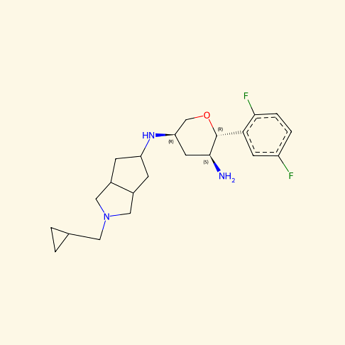 N[C@H]1C[C@@H](NC2CC3CN(CC4CC4)CC3C2)CO[C@@H]1c1cc(F)ccc1F